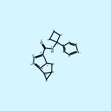 O=C(NC1(c2ccncc2)CCC1)C1=NN=C2C1CC1CC21